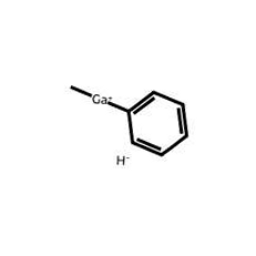 [CH3][Ga+][c]1ccccc1.[H-]